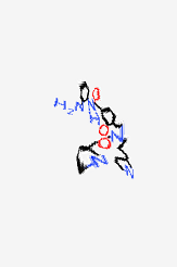 Nc1ccccc1NC(=O)c1ccc(CN(CCCc2cccnc2)C(=O)OCc2cccnc2)cc1